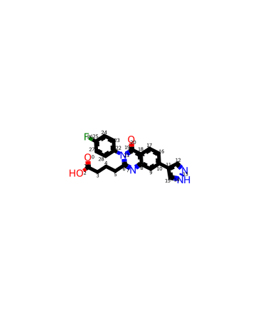 O=C(O)CCCc1nc2cc(-c3cn[nH]c3)ccc2c(=O)n1-c1ccc(F)cc1